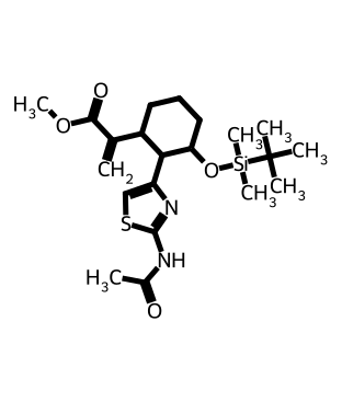 C=C(C(=O)OC)C1CCCC(O[Si](C)(C)C(C)(C)C)C1c1csc(NC(C)=O)n1